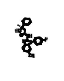 C[C@@](O)(CC(=O)Nc1nc2ccc(C#N)cc2n1-c1ccc(F)cc1)c1ccccc1